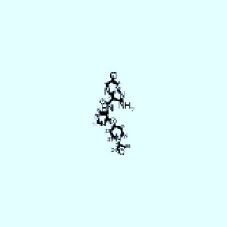 Nc1nn2cc(Cl)cnc2c1C(=O)Nc1cncnc1OC1CCN(C2COC2)CC1